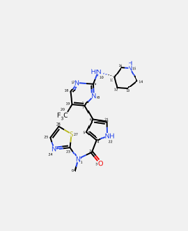 CN(C(=O)c1cc(-c2nc(N[C@H]3CCCNC3)ncc2C(F)(F)F)c[nH]1)c1nccs1